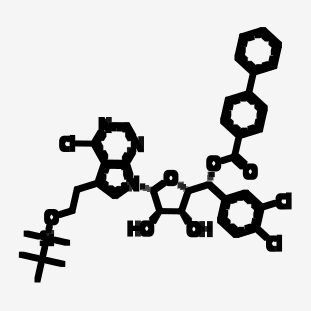 CC(C)(C)[Si](C)(C)OCCc1cn([C@@H]2O[C@H]([C@H](OC(=O)c3ccc(-c4ccccc4)cc3)c3ccc(Cl)c(Cl)c3)[C@@H](O)[C@H]2O)c2ncnc(Cl)c12